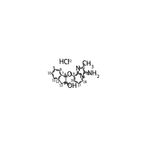 Cc1nc2c(O[C@@H]3c4ccccc4C[C@H]3O)cccn2c1N.Cl